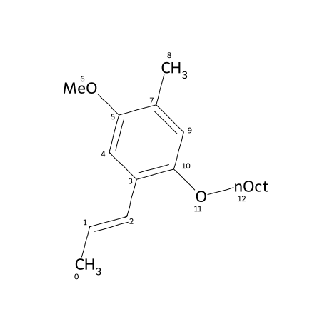 CC=Cc1cc(OC)c(C)cc1OCCCCCCCC